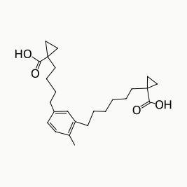 Cc1ccc(CCCCC2(C(=O)O)CC2)cc1CCCCCCC1(C(=O)O)CC1